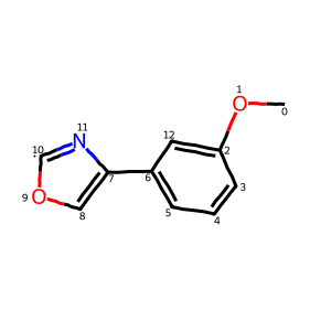 COc1cccc(-c2co[c]n2)c1